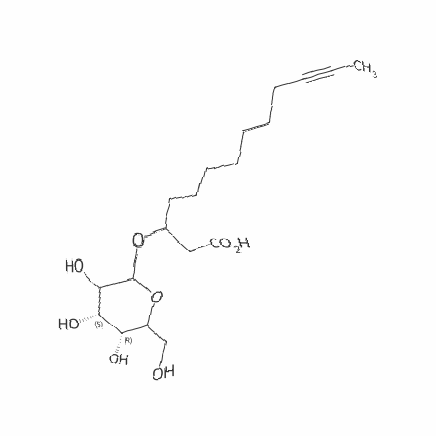 CC#CCCCCCCCC(CC(=O)O)OC1OC(CO)[C@H](O)[C@H](O)C1O